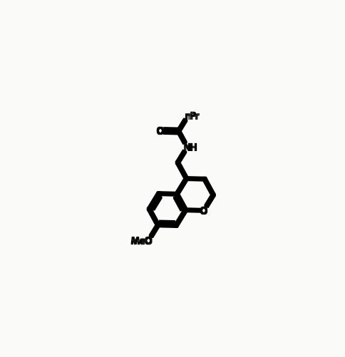 CCCC(=O)NCC1CCOc2cc(OC)ccc21